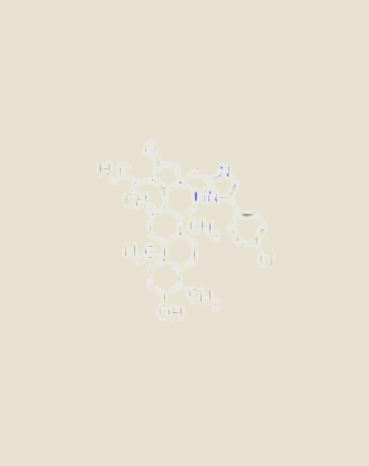 CC(C)C1=C2C3CCC4C(C)(CCC5C(C)C(O)CCC54C)C3CCC2(Cc2ncc(-c3ccc(Cl)cc3)[nH]2)CC1=O